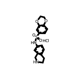 Cl.O=S(=O)(Nc1ccc2c(c1)CNCC2)c1ccc2c(c1)OCCO2